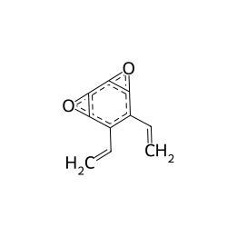 C=Cc1c(C=C)c2oc2c2oc12